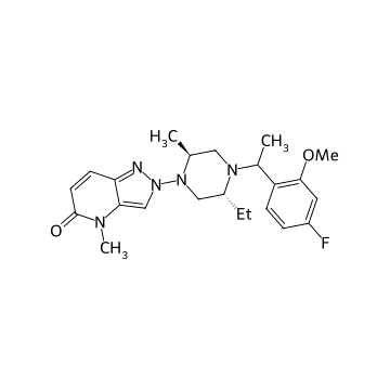 CC[C@@H]1CN(n2cc3c(ccc(=O)n3C)n2)[C@@H](C)CN1C(C)c1ccc(F)cc1OC